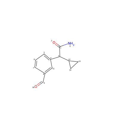 NC(=O)C(c1cccc(C=O)c1)C1CC1